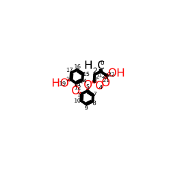 C=C(CC(=O)Oc1ccccc1Oc1ccccc1O)C(=O)O